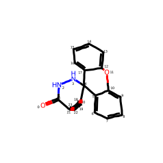 O=C1NNC2(c3ccccc3Oc3ccccc32)c2ccccc21